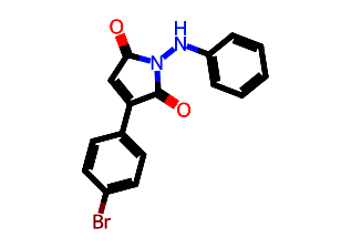 O=C1C=C(c2ccc(Br)cc2)C(=O)N1Nc1ccccc1